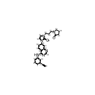 C#Cc1cccc(Nc2ncnc3cc(-n4ccn(CCCN5CCCC5=O)c4=O)ccc23)c1